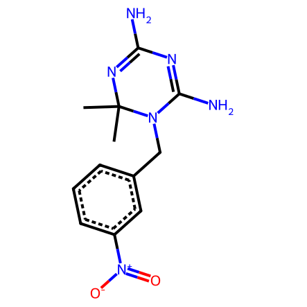 CC1(C)N=C(N)N=C(N)N1Cc1cccc([N+](=O)[O-])c1